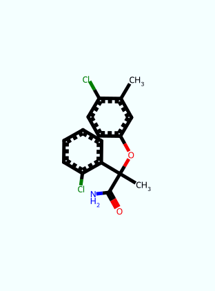 Cc1cc(OC(C)(C(N)=O)c2ccccc2Cl)ccc1Cl